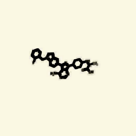 C[C@H](NC1CCC(n2nc(-c3ccc4c(ccn4Cc4ccccc4F)c3)c3c(N)ncnc32)CC1)C(=O)O